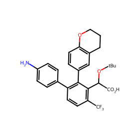 CC(C)(C)OC(C(=O)O)c1c(C(F)(F)F)ccc(-c2ccc(N)cc2)c1-c1ccc2c(c1)CCCO2